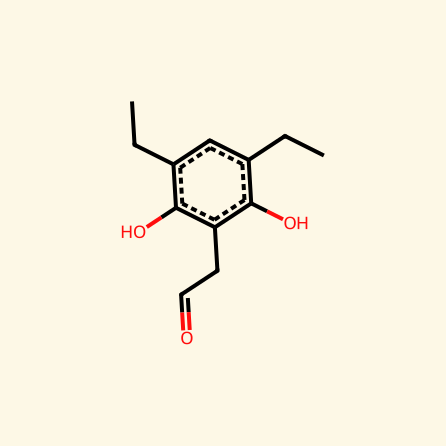 CCc1cc(CC)c(O)c(CC=O)c1O